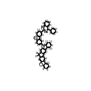 CC1(C)c2cc3oc4ccccc4c3cc2-c2cc3c4ccccc4n(-c4ccc5oc6ccc(-c7nc(-c8ccccc8)c8ccccc8n7)cc6c5c4)c3cc21